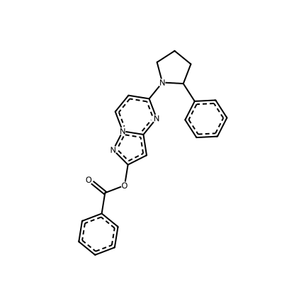 O=C(Oc1cc2nc(N3CCCC3c3ccccc3)ccn2n1)c1ccccc1